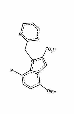 COc1ccc(C(C)C)c2c1cc(C(=O)O)n2Cc1ccccn1